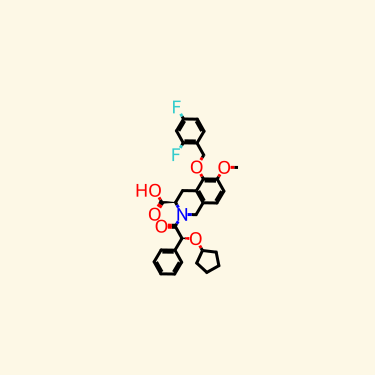 COc1ccc2c(c1OCc1ccc(F)cc1F)C[C@H](C(=O)O)N(C(=O)[C@@H](OC1CCCC1)c1ccccc1)C2